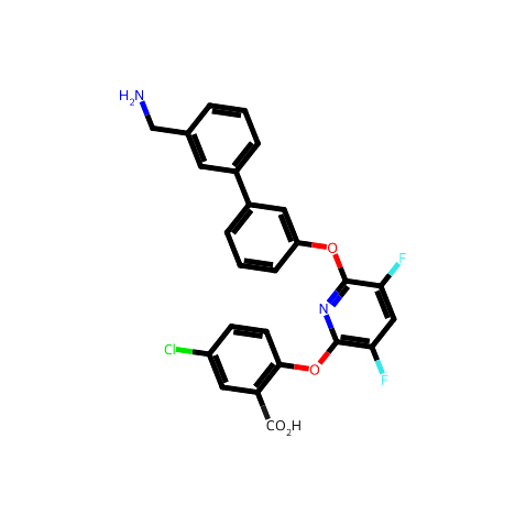 NCc1cccc(-c2cccc(Oc3nc(Oc4ccc(Cl)cc4C(=O)O)c(F)cc3F)c2)c1